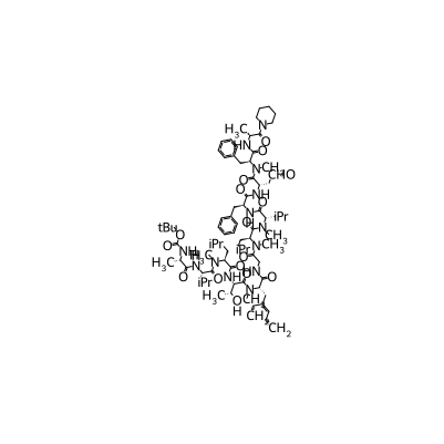 C=C/C=C(\C=C)C[C@@H](C(=O)NCC(=O)N(C)[C@@H](CC(C)C)C(=O)N(C)[C@H](C(=O)N[C@@H](Cc1ccccc1)C(=O)N[C@@H](CC=O)C(=O)N(C)[C@@H](Cc1ccccc1)C(=O)N[C@@H](C)C(=O)N1CCCCC1)C(C)C)N(C)C(=O)[C@@H](NC(=O)[C@H](CC(C)C)N(C)C(=O)[C@@H](NC(=O)[C@H](C)NC(=O)OC(C)(C)C)C(C)C)[C@@H](C)O